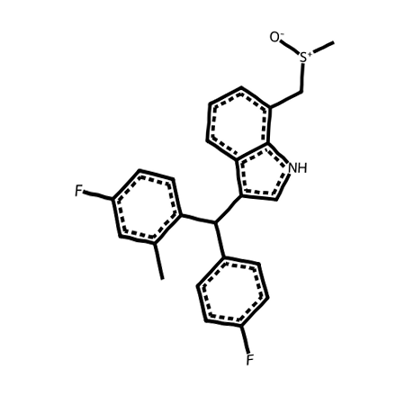 Cc1cc(F)ccc1C(c1ccc(F)cc1)c1c[nH]c2c(C[S+](C)[O-])cccc12